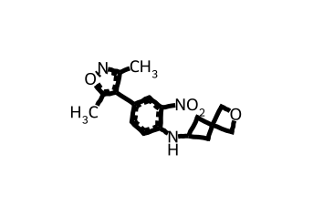 Cc1noc(C)c1-c1ccc(NC2CC3(COC3)C2)c([N+](=O)[O-])c1